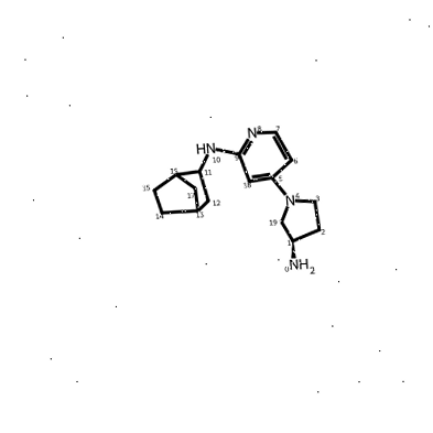 N[C@@H]1CCN(c2ccnc(NC3CC4CCC3C4)c2)C1